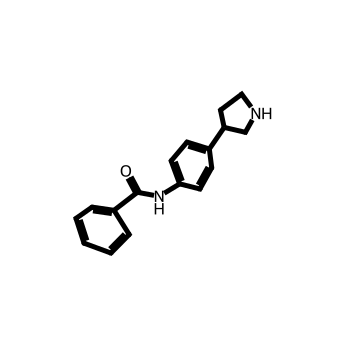 O=C(Nc1ccc(C2CCNC2)cc1)c1ccccc1